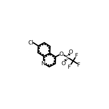 O=S(=O)(Oc1ccnc2cc(Cl)ccc12)C(F)(F)F